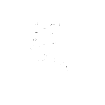 OC[C@H]1O[C@H](O)[C@@](O)(Oc2cccc3ncn(Cc4ccc(-n5cccc5)cc4)c23)[C@@H](O)[C@@H]1O